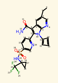 CCc1cnc2c(c1)c(C(N)=O)c(-c1ccc(S(=O)(=O)NC3(C(F)(F)F)CC3)cn1)n2C1=CC=C1